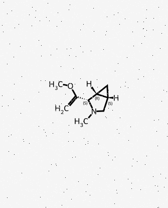 C=C(OC)[C@@H]1[C@@H]2C[C@@H]2CN1C